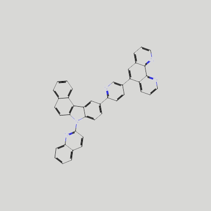 c1ccc2nc(-n3c4ccc(-c5ccc(-c6cc7cccnc7c7ncccc67)cn5)cc4c4c5ccccc5ccc43)ccc2c1